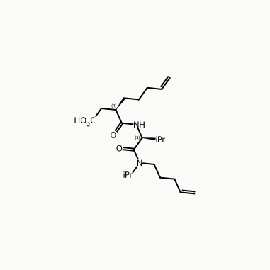 C=CCCC[C@H](CC(=O)O)C(=O)N[C@H](C(=O)N(CCCC=C)C(C)C)C(C)C